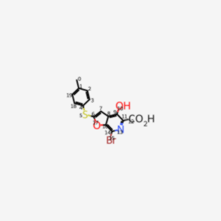 Cc1ccc(Sc2cc3c(O)c(C(=O)O)nc(Br)c3o2)cc1